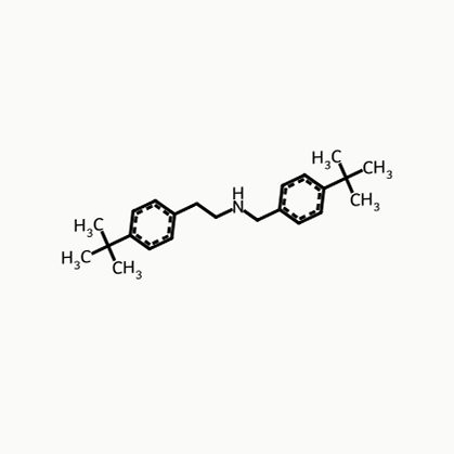 CC(C)(C)c1ccc(CCNCc2ccc(C(C)(C)C)cc2)cc1